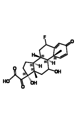 C[C@]12C=CC(=O)C=C1C(F)C[C@@H]1[C@@H]2C(O)C[C@@]2(C)[C@H]1CC[C@]2(O)C(=O)C(=O)O